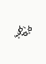 COc1cc2c(Oc3ccc(OC4CCC(C)C4)cc3)c(C(=O)O)sc2cc1C